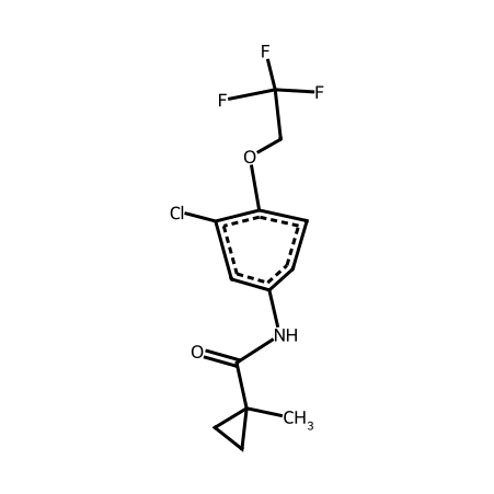 CC1(C(=O)Nc2ccc(OCC(F)(F)F)c(Cl)c2)CC1